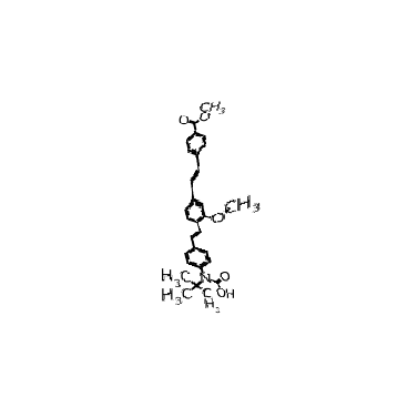 COC(=O)c1ccc(/C=C/c2ccc(/C=C/c3ccc(N(C(=O)O)C(C)(C)C)cc3)c(OC)c2)cc1